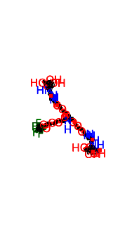 CC(=O)N[C@@H]1[C@@H](O)[C@@H](O)[C@@H](CO)O[C@H]1NCCc1cn(CCOCCOCCOCC(COCCOCCOCCn2cc(CCN[C@H]3C[C@@H](O)[C@@H](O)[C@@H](CO)O3)nn2)NC(=O)CCOCCOCCC(=O)Oc2c(F)c(F)c(F)c(F)c2F)nn1